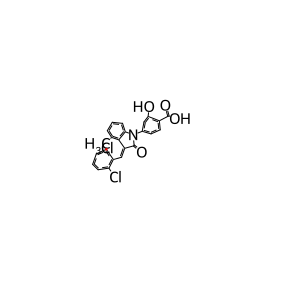 Cc1cccc2c1/C(=C\c1c(Cl)cccc1Cl)C(=O)N2c1ccc(C(=O)O)c(O)c1